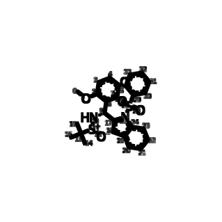 COc1ccc(Cl)cc1[C@@H](N[S@@+]([O-])C(C)(C)C)c1cc2ccccc2n1S(=O)(=O)c1ccccc1